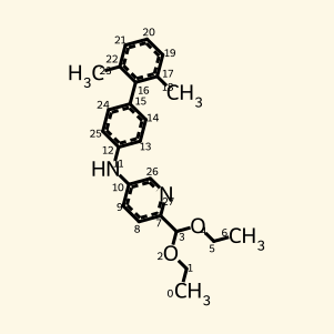 CCOC(OCC)c1ccc(Nc2ccc(-c3c(C)cccc3C)cc2)cn1